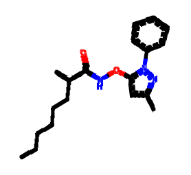 CCCCCCC(C)C(=O)NOc1cc(C)nn1-c1ccccc1